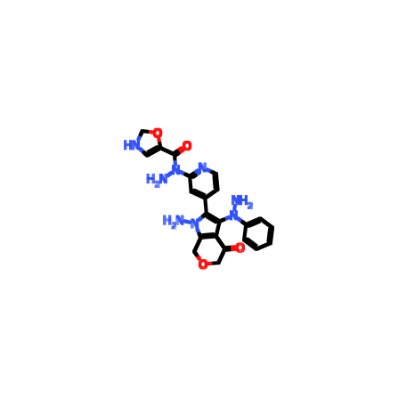 NN(C(=O)C1=CNCO1)c1cc(-c2c(N(N)c3ccccc3)c3c(n2N)COCC3=O)ccn1